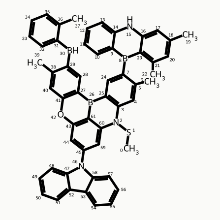 CSN1c2cc(C)c(B3c4ccccc4Nc4cc(C)cc(C)c43)cc2B2c3cc(Bc4ccccc4C)c(C)cc3Oc3cc(-n4c5ccccc5c5ccccc54)cc1c32